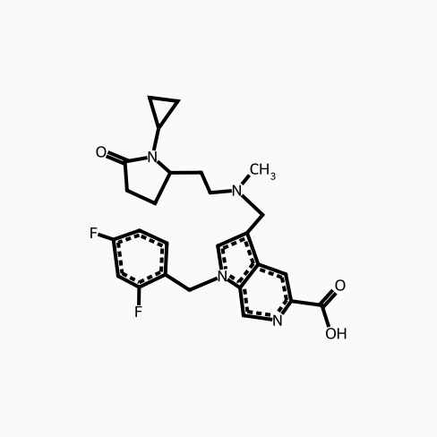 CN(CCC1CCC(=O)N1C1CC1)Cc1cn(Cc2ccc(F)cc2F)c2cnc(C(=O)O)cc12